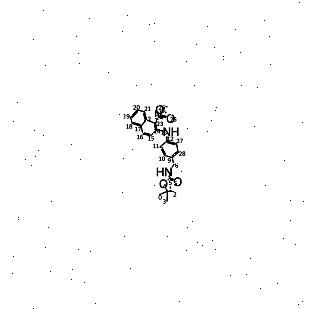 CC(C)(C)OC(=O)NCc1ccc(Nc2ccc3ccccc3c2[N+](=O)[O-])cc1